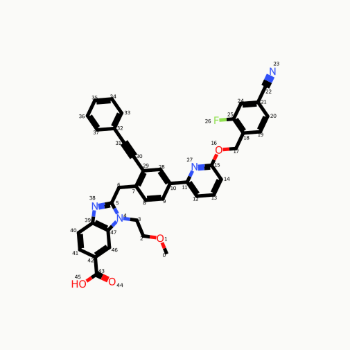 COCCn1c(Cc2ccc(-c3cccc(OCc4ccc(C#N)cc4F)n3)cc2C#Cc2ccccc2)nc2ccc(C(=O)O)cc21